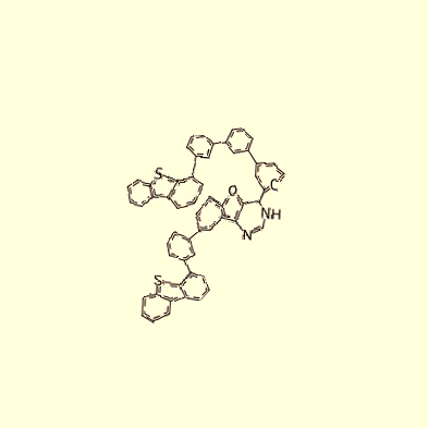 C1=Nc2c(oc3ccc(-c4cccc(-c5cccc6c5sc5ccccc56)c4)cc23)C(c2cccc(-c3cccc(-c4cccc(-c5cccc6c5sc5ccccc56)c4)c3)c2)N1